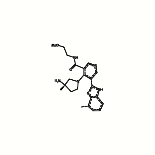 COCCNC(=O)c1cncc(-c2nc3c(C)cccc3[nH]2)c1N1CC[C@](C)(N)C1